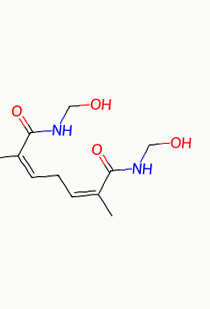 CC(=CCC=C(C)C(=O)NCO)C(=O)NCO